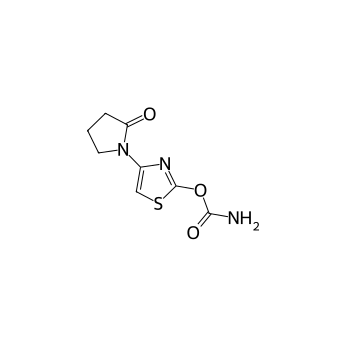 NC(=O)Oc1nc(N2CCCC2=O)cs1